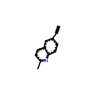 C#Cc1ccc2nc([CH2])ccc2c1